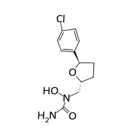 NC(=O)N(O)C[C@H]1CC[C@H](c2ccc(Cl)cc2)O1